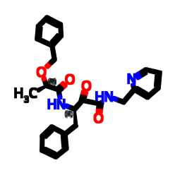 C[C@@H](OCc1ccccc1)C(=O)N[C@H](Cc1ccccc1)C(=O)C(=O)NCc1ccccn1